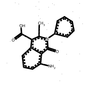 Cc1c(C(=O)O)c2cccc(N)c2c(=O)n1-c1ccccc1